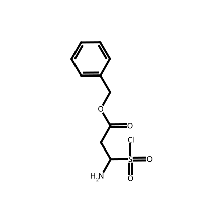 NC(CC(=O)OCc1ccccc1)S(=O)(=O)Cl